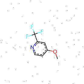 COc1[c]cnc(C(F)(F)F)c1